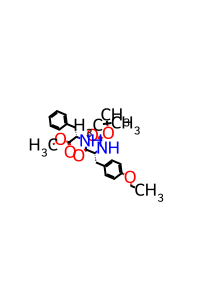 CCOc1ccc(C[C@@H](NC(=O)OC(C)(C)C)C(=O)N[C@@H](Cc2ccccc2)C(=O)OC)cc1